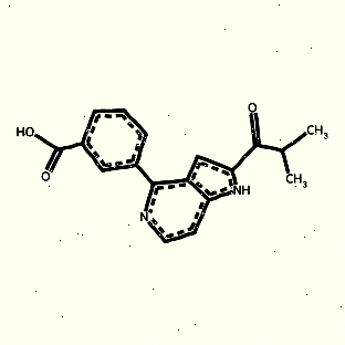 CC(C)C(=O)c1cc2c(-c3cccc(C(=O)O)c3)nccc2[nH]1